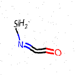 O=C=N[SiH2]